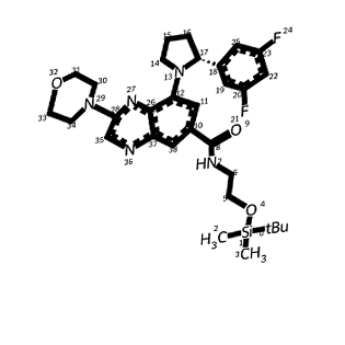 CC(C)(C)[Si](C)(C)OCCNC(=O)c1cc(N2CCC[C@@H]2c2cc(F)cc(F)c2)c2nc(N3CCOCC3)cnc2c1